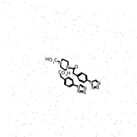 O=C(O)Cc1ccc(-n2cnnn2)cc1.O=C(O)N1CCN(C(=O)Cc2ccc(-n3cnnn3)cc2)CC1